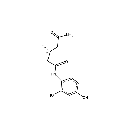 C[C@@H]([CH]C(=O)Nc1ccc(O)cc1O)CC(N)=O